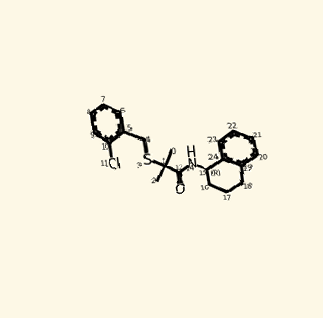 CC(C)(SCc1ccccc1Cl)C(=O)N[C@@H]1CCCc2ccccc21